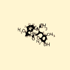 Cc1cc(O)cc(C)c1CC(CNC(=O)[C@@H]1C[C@]1(C)c1ccccc1)N(C)C